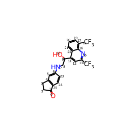 O=C1CCc2cc(NCC(O)c3cc(C(F)(F)F)nc4c(C(F)(F)F)cccc34)ccc21